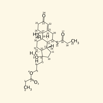 CCC(=O)OCCCC1(O)CC[C@H]2[C@@H]3C(SC(=O)CC)CC4=CC(=O)CC[C@]4(C)[C@@H]3CC[C@@]21C